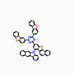 c1ccc2cc3c(cc2c1)c1ccccc1n3-c1cc(-c2nc(-c3ccc4oc5ccccc5c4c3)nc(-c3ccc4sc5ccccc5c4c3)n2)cc2sc3c4ccccc4ccc3c12